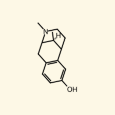 C[C@H]1C2CCN(C)C1Cc1ccc(O)cc12